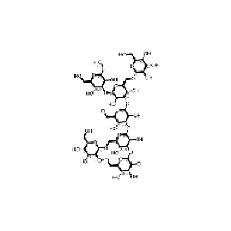 CO[C@@H]1OC(CO)[C@@H](O)[C@H](O[C@H]2OC(CO[C@@H]3OC(CO)[C@@H](O)[C@H](O)C3O)[C@@H](O)[C@H](O[C@@H]3OC(CO)[C@@H](O)[C@H](O[C@H]4OC(CO[C@@H]5OC(CO)[C@@H](O)[C@H](O)C5O)[C@@H](O)[C@H](O[C@@H]5OC(CO)[C@@H](O)[C@H](O)C5O)C4O)C3O)C2O)C1O